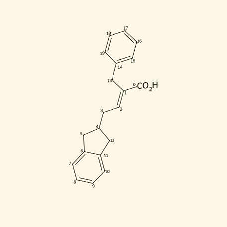 O=C(O)C(=CCC1Cc2ccccc2C1)Cc1ccccc1